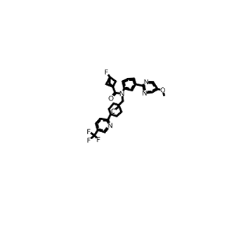 COc1cnc(-c2cccc(N(CC34CCC(c5ccc(C(F)(F)F)cn5)(CC3)CC4)C(=O)C34CC(F)(C3)C4)c2)nc1